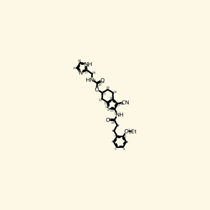 CCOc1ccccc1CCC(=O)Nc1sc2c(c1C#N)CCC(OC(=O)NCc1ncc[nH]1)C2